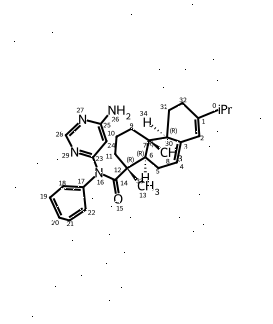 CC(C)C1=CC2=CC[C@@H]3[C@](C)(CCC[C@@]3(C)C(=O)N(c3ccccc3)c3cc(N)ncn3)[C@H]2CC1